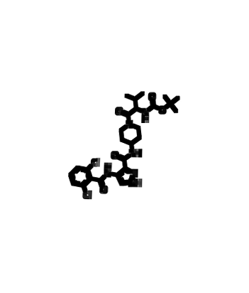 CC(C)C(NC(=O)OC(C)(C)C)C(=O)N1CCC(NC(=O)c2n[nH]cc2NC(=O)c2c(Cl)cccc2Cl)CC1